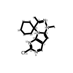 CC1=NN(C)c2cc3cnc(Cl)nc3n2C12CCCCC2